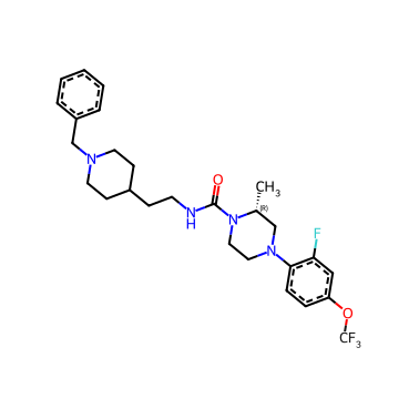 C[C@@H]1CN(c2ccc(OC(F)(F)F)cc2F)CCN1C(=O)NCCC1CCN(Cc2ccccc2)CC1